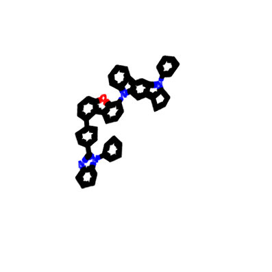 C1=Cc2c(n(-c3ccccc3)c3cc4c5ccccc5n(-c5cccc6c5oc5cccc(-c7ccc(-c8nc9ccccc9n8-c8ccccc8)cc7)c56)c4cc23)C1